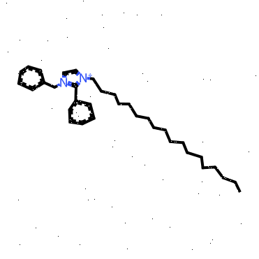 CCCCCCCCCCCCCCCCCC[n+]1ccn(Cc2ccccc2)c1-c1ccccc1